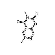 Cc1cc2c(=O)n(C)c(=O)oc2cn1